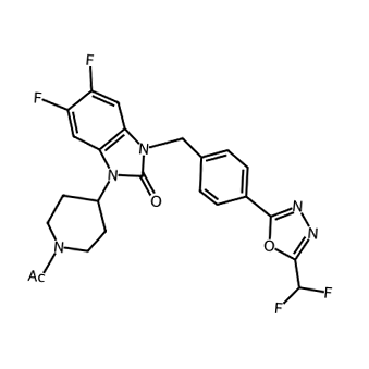 CC(=O)N1CCC(n2c(=O)n(Cc3ccc(-c4nnc(C(F)F)o4)cc3)c3cc(F)c(F)cc32)CC1